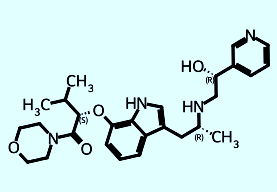 CC(C)[C@H](Oc1cccc2c(C[C@@H](C)NC[C@H](O)c3cccnc3)c[nH]c12)C(=O)N1CCOCC1